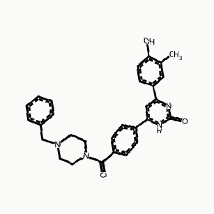 Cc1cc(-c2cc(-c3ccc(C(=O)N4CCN(Cc5ccccc5)CC4)cc3)[nH]c(=O)n2)ccc1O